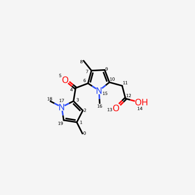 Cc1cc(C(=O)c2c(C)cc(CC(=O)O)n2C)n(C)c1